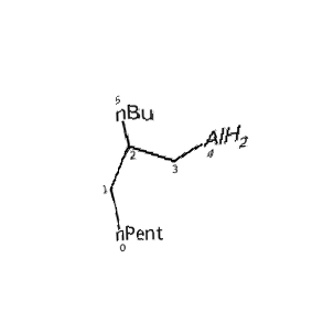 CCCCCCC([CH2][AlH2])CCCC